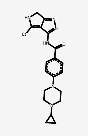 CCC1=C2C(=NN=C2NC(=O)c2ccc(N3CCN(C4CC4)CC3)cc2)CN1